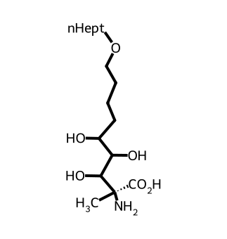 CCCCCCCOCCCCC(O)C(O)C(O)[C@](C)(N)C(=O)O